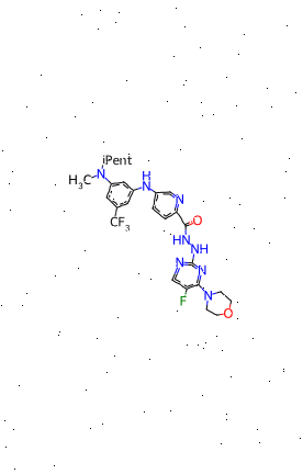 CCCC(C)N(C)c1cc(Nc2ccc(C(=O)NNc3ncc(F)c(N4CCOCC4)n3)nc2)cc(C(F)(F)F)c1